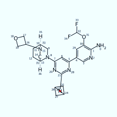 Nc1ncc(-c2cc(N3C[C@@H]4CC[C@H]3CN4C3COC3)nc(N3CC4CC3C4)n2)cc1OC(F)F